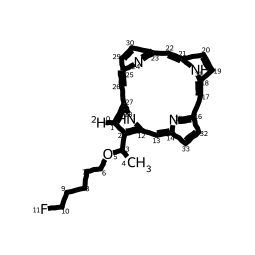 [2H]c1c(C(C)OCCCCCF)c2cc3nc(cc4ccc(cc5nc(cc1[nH]2)C=C5)[nH]4)C=C3